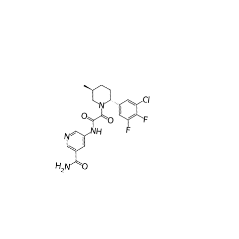 C[C@H]1CC[C@H](c2cc(F)c(F)c(Cl)c2)N(C(=O)C(=O)Nc2cncc(C(N)=O)c2)C1